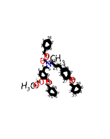 COCOc1ccc(CCN(C(=O)OCc2ccccc2)C(C)CCc2ccc(OCc3ccccc3)cc2)cc1OCc1ccccc1